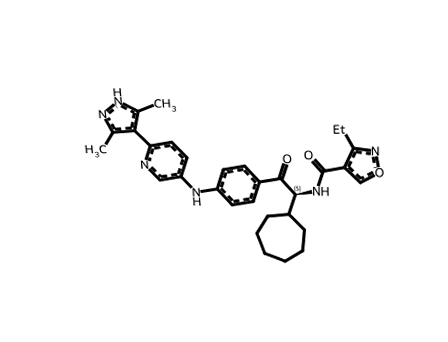 CCc1nocc1C(=O)N[C@H](C(=O)c1ccc(Nc2ccc(-c3c(C)n[nH]c3C)nc2)cc1)C1CCCCCC1